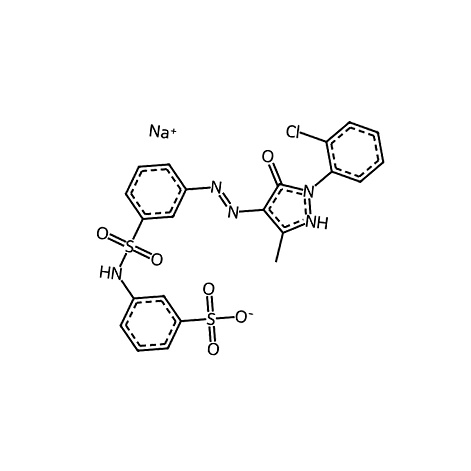 Cc1[nH]n(-c2ccccc2Cl)c(=O)c1N=Nc1cccc(S(=O)(=O)Nc2cccc(S(=O)(=O)[O-])c2)c1.[Na+]